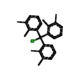 Cc1cccc([Si](Cl)(c2cccc(C)c2C)c2cccc(C)c2C)c1C